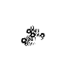 COc1ccccc1S(=O)(=O)Nc1cc(OC[C@@H]2CCCN2C)c2c(c1)C1(CCCC1)C(=O)N2